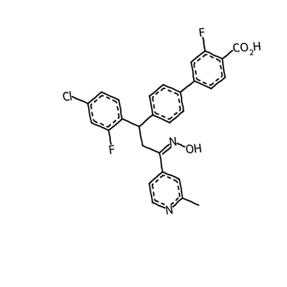 Cc1cc(C(CC(c2ccc(-c3ccc(C(=O)O)c(F)c3)cc2)c2ccc(Cl)cc2F)=NO)ccn1